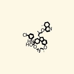 C[C@@H](COc1ccnc2c1[C@H](C)CCC2)C[C@H]1Cc2ccc(O[C@H](C)CN(C)C)cc2C12CCC(Nc1cccc(Cl)c1)(C(=O)O)CC2